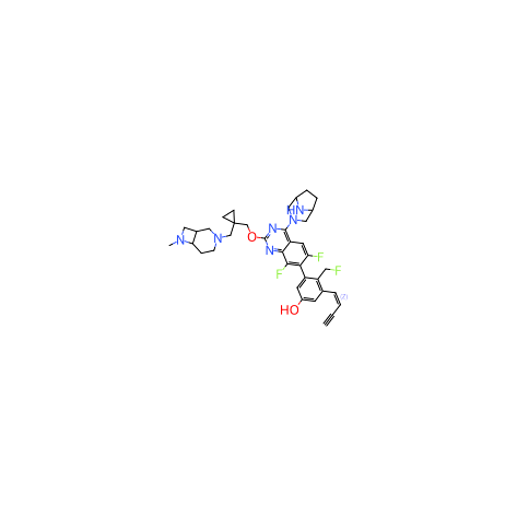 C#C/C=C\c1cc(O)cc(-c2c(F)cc3c(N4CC5CCC(C4)N5)nc(OCC4(CN5CCC6C(C5)CN6C)CC4)nc3c2F)c1CF